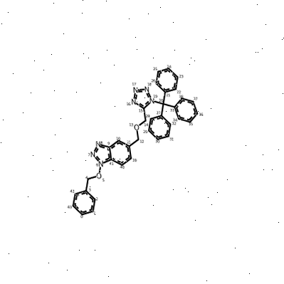 c1ccc(COn2nnc3cc(COCc4nnnn4C(c4ccccc4)(c4ccccc4)c4ccccc4)ccc32)cc1